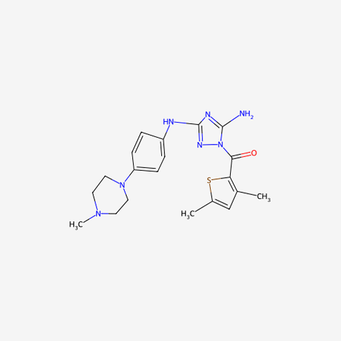 Cc1cc(C)c(C(=O)n2nc(Nc3ccc(N4CCN(C)CC4)cc3)nc2N)s1